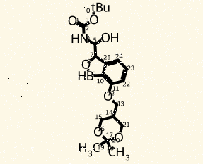 CC(C)(C)OC(=O)NC(O)C1OBc2c(OCC3COC(C)(C)OC3)cccc21